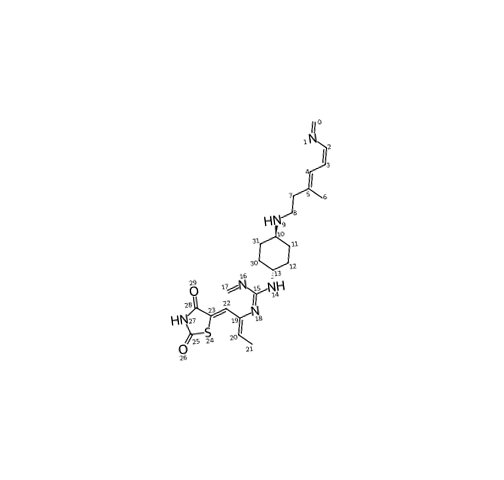 C=N/C=C\C=C(/C)CCN[C@H]1CC[C@H](N/C(N=C)=N/C(=C\C)/C=C2\SC(=O)NC2=O)CC1